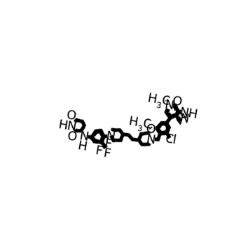 COc1cc(-c2cn(C)c(=O)c3[nH]ncc23)cc(Cl)c1CN1CCC(CCC2CCN(c3ccc(NC4CCC(=O)NC4=O)cc3C(F)(F)F)CC2)CC1